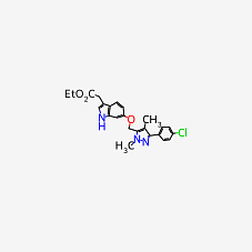 CCOC(=O)Cc1c[nH]c2cc(OCc3c(C)c(-c4ccc(Cl)cc4)nn3C)ccc12